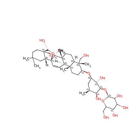 C[C@H]1C[C@@H](O[C@H]2CC[C@@]3(C)[C@@H](CC[C@]4(C)[C@@H]3C=C[C@]35OC[C@@]6(CCC(C)(C)C[C@H]63)[C@@H](O)C[C@]54C)[C@]2(C)CO)[C@H](O)[C@@H](O[C@@H]2OC(CO)[C@@H](O)C(O)C2O)[C@H]1O